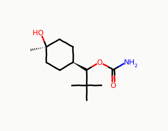 CC(C)(C)C(OC(N)=O)[C@H]1CC[C@@](C)(O)CC1